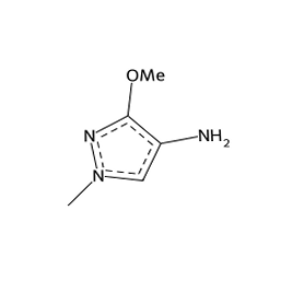 COc1nn(C)cc1N